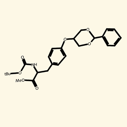 COC(=O)C(Cc1ccc(OC2COC(c3ccccc3)OC2)cc1)NC(=O)OC(C)(C)C